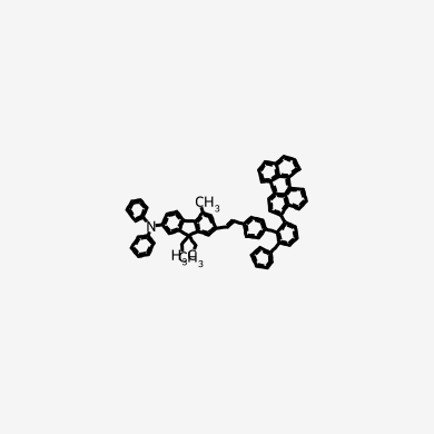 CCC1(CC)c2cc(N(c3ccccc3)c3ccccc3)ccc2-c2c(C)cc(/C=C/c3ccc(-c4c(-c5ccccc5)cccc4-c4ccc5c6cccc7cccc(c8cccc4c85)c76)cc3)cc21